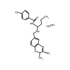 CCCC(NCc1ccc2c(c1)N=C(N)C(C)O2)NC(=O)c1ccc(Cl)cc1.Cl.Cl